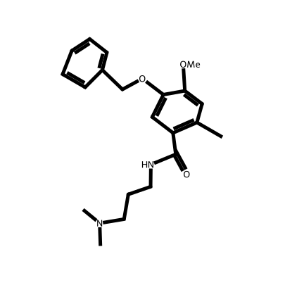 COc1cc(C)c(C(=O)NCCCN(C)C)cc1OCc1ccccc1